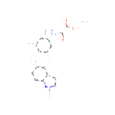 CCOC(=O)C(=O)Nc1cc(C)c(Oc2ccc3[nH]cc(C)c3c2)c(C)c1